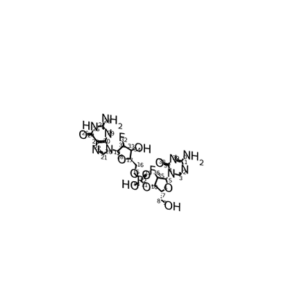 Nc1ncn([C@@H]2O[C@H](CO)[C@H](OP(=O)(O)OC[C@H]3O[C@@H](n4cnc5c(=O)[nH]c(N)nc54)C(F)C3O)C2F)c(=O)n1